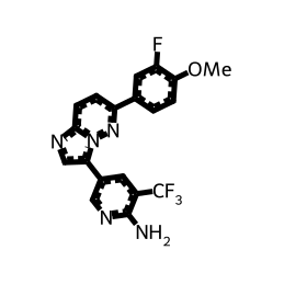 COc1ccc(-c2ccc3ncc(-c4cnc(N)c(C(F)(F)F)c4)n3n2)cc1F